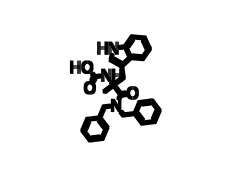 CC(Cc1c[nH]c2ccccc12)(NC(=O)O)C(=O)N(Cc1ccccc1)Cc1ccccc1